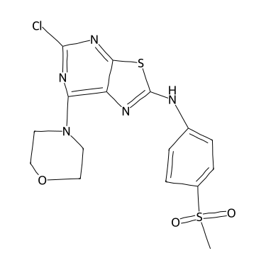 CS(=O)(=O)c1ccc(Nc2nc3c(N4CCOCC4)nc(Cl)nc3s2)cc1